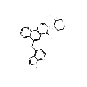 CCn1ccc2c(Cc3cc4c(=O)n([C@H]5CCOC[C@@H]5O)cnc4c4ccccc34)ccnc21